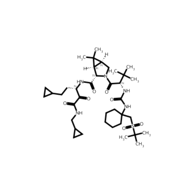 CC(C)(C)[C@H](NC(=O)NC1(CS(=O)(=O)C(C)(C)C)CCCCC1)C(=O)N1C[C@H]2[C@@H]([C@H]1C(=O)N[C@@H](CCC1CC1)C(=O)C(=O)NCC1CC1)C2(C)C